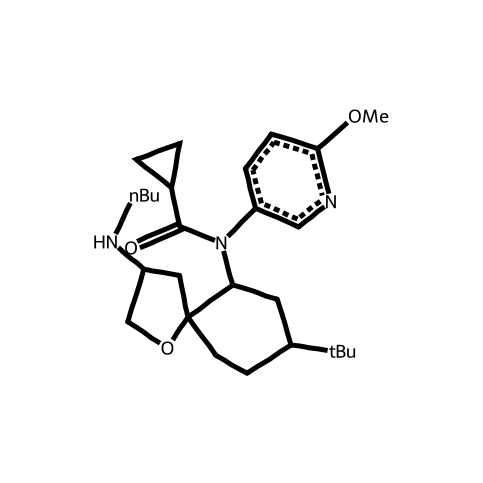 CCCCNC1COC2(CCC(C(C)(C)C)CC2N(C(=O)C2CC2)c2ccc(OC)nc2)C1